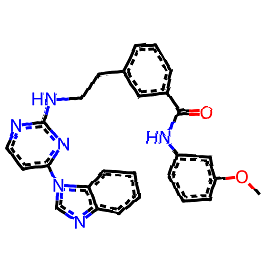 COc1cccc(NC(=O)c2cccc(CCNc3nccc(-n4cnc5ccccc54)n3)c2)c1